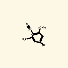 COc1cc(Br)cc(C)c1[N+]#N